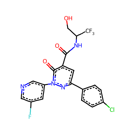 O=C(NC(CO)C(F)(F)F)c1cc(-c2ccc(Cl)cc2)nn(-c2cncc(F)c2)c1=O